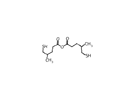 CC(CS)CCC(=O)OC(=O)CCC(C)CS